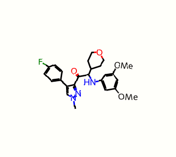 COc1cc(NC(C(=O)c2nn(C)cc2-c2ccc(F)cc2)C2CCOCC2)cc(OC)c1